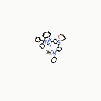 O=CN(c1cccc(-c2nn(C3CCCCO3)c3ccc(-c4ncn(C(c5ccccc5)(c5ccccc5)c5ccccc5)n4)cc23)c1)C1CCCC1